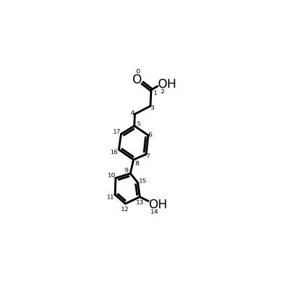 O=C(O)CCc1ccc(-c2cccc(O)c2)cc1